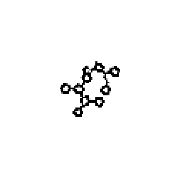 c1ccc(CCC(c2ccccc2)c2cccc(-n3ccc4cc(-c5cc(-c6ccccc6)cc(-c6cc(-c7ccccc7)cc(-c7ccccc7)c6)c5)ccc43)c2)cc1